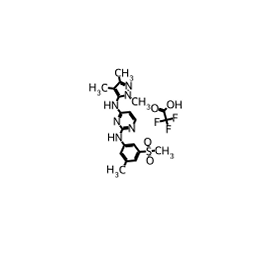 Cc1cc(Nc2nccc(Nc3c(C)c(C)nn3C)n2)cc(S(C)(=O)=O)c1.O=C(O)C(F)(F)F